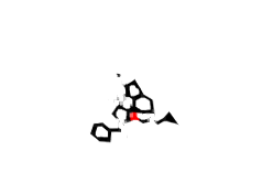 COc1ccc2c(c1O)C13CCN(CC4CC4)C(C2)C12CCC1C3[C@@H](CN1C(=O)c1ccccc1)O2